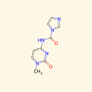 Cn1ccc(NC(=O)n2ccnc2)nc1=O